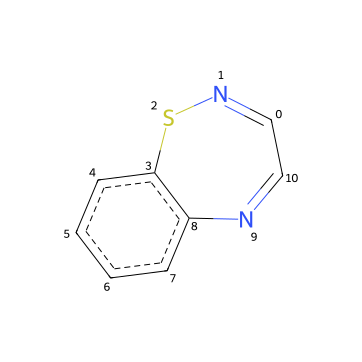 C1=NSc2ccccc2N=C1